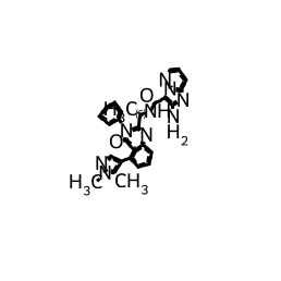 Cc1c(-c2cccc3nc([C@H](C)NC(=O)c4c(N)nc5cccnn45)n(-c4ccccc4)c(=O)c23)cnn1C